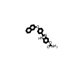 NC(=O)Oc1ccc2[nH]c(-c3ccc(Oc4ccc5ccccc5c4)cc3)nc2c1